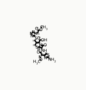 CO/N=C(/C(=O)NC1C(=O)N2C(C(=O)O)=C(CSc3nnnn3CC(=O)OC)CS[C@H]12)c1csc(N)n1